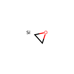 C1CO1.[Si]